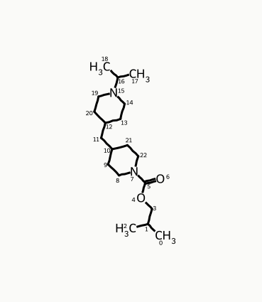 CC(C)COC(=O)N1CCC(CC2CCN(C(C)C)CC2)CC1